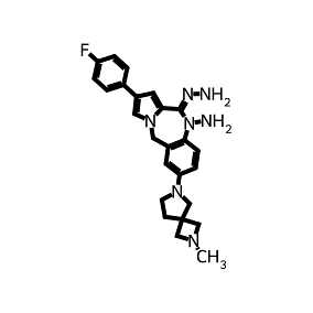 CN1CC2(CCN(c3ccc4c(c3)Cn3cc(-c5ccc(F)cc5)cc3/C(=N/N)N4N)C2)C1